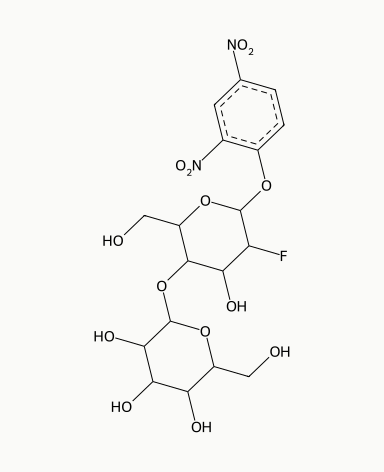 O=[N+]([O-])c1ccc(OC2OC(CO)C(OC3OC(CO)C(O)C(O)C3O)C(O)C2F)c([N+](=O)[O-])c1